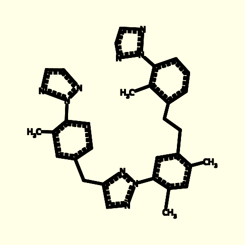 Cc1cc(C)c(-n2ncc(Cc3ccc(-n4nccn4)c(C)c3)n2)cc1CCc1cccc(-n2nccn2)c1C